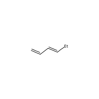 [CH2]CC=CC=C